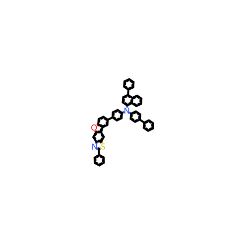 c1ccc(-c2ccc(N(c3ccc(-c4ccc5oc6cc7nc(-c8ccccc8)sc7cc6c5c4)cc3)c3ccc(-c4ccccc4)c4ccccc34)cc2)cc1